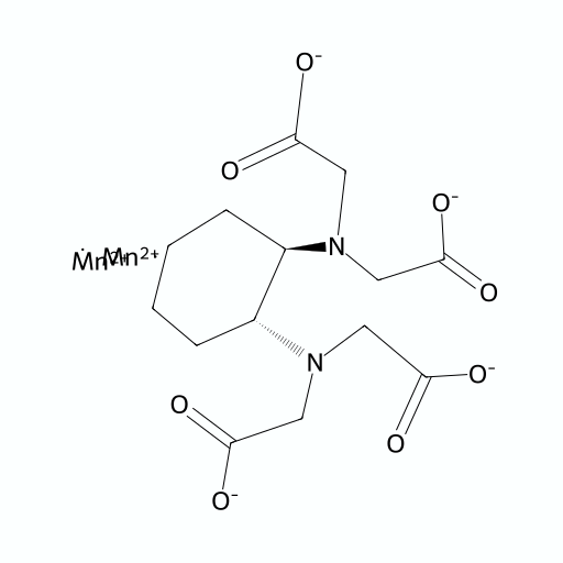 O=C([O-])CN(CC(=O)[O-])[C@@H]1CCCC[C@H]1N(CC(=O)[O-])CC(=O)[O-].[Mn+2].[Mn+2]